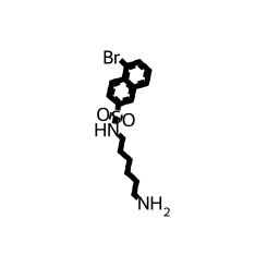 NCCCCCCNS(=O)(=O)c1ccc2c(Br)cccc2c1